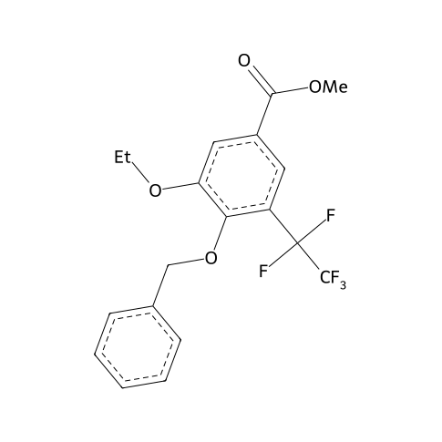 CCOc1cc(C(=O)OC)cc(C(F)(F)C(F)(F)F)c1OCc1ccccc1